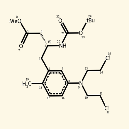 COC(=O)C[C@@H](Cc1cc(N(CCCl)CCCl)ccc1C)NC(=O)OC(C)(C)C